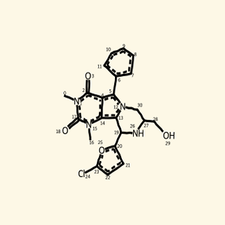 Cn1c(=O)c2c(-c3ccccc3)n3c(c2n(C)c1=O)C(c1ccc(Cl)o1)NC(CO)C3